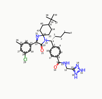 CCCC[C@H](c1ccc(C(=O)NCc2n[nH][nH]2)cc1)N1C(=O)C(c2cc(C)cc(Cl)c2)=NC12CCC(C(C)(C)C)CC2